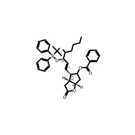 CCCCC(C)[C@@H](/C=C/[C@H]1C(OC(=O)c2ccccc2)C[C@@H]2OC(=O)C[C@@H]21)O[Si](c1ccccc1)(c1ccccc1)C(C)(C)C